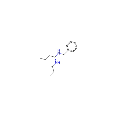 CC[CH]NC(CCC)NCc1ccccc1